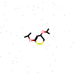 CC(C)OC1=CC(OC(C)C)CSS1